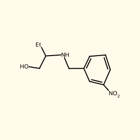 CCC(CO)NCc1cccc([N+](=O)[O-])c1